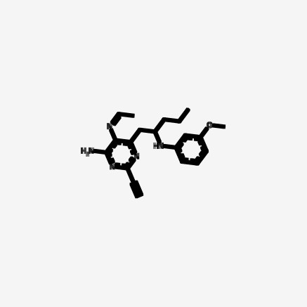 C#Cc1nc(N)c(/N=C\C)c(CC(CCC)Nc2cccc(OC)c2)n1